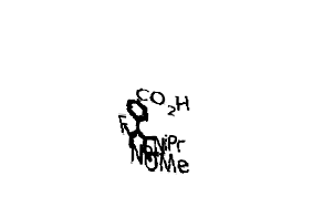 COc1ncc(F)c(-c2ccc(C(=O)O)cc2)c1CN(C(C)C)C(C)C